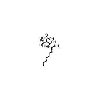 CCCCCCN=C(N)NC(O)C(P(=O)(O)O)P(=O)(O)O